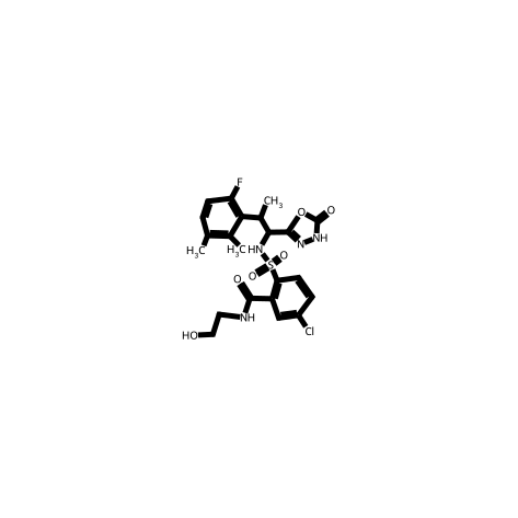 Cc1ccc(F)c(C(C)C(NS(=O)(=O)c2ccc(Cl)cc2C(=O)NCCO)c2n[nH]c(=O)o2)c1C